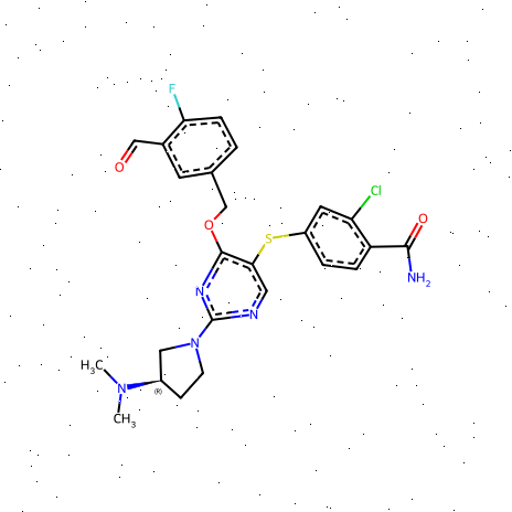 CN(C)[C@@H]1CCN(c2ncc(Sc3ccc(C(N)=O)c(Cl)c3)c(OCc3ccc(F)c(C=O)c3)n2)C1